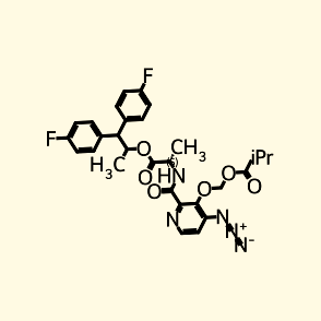 CC(C)C(=O)OCOc1c(N=[N+]=[N-])ccnc1C(=O)N[C@@H](C)C(=O)OC(C)C(c1ccc(F)cc1)c1ccc(F)cc1